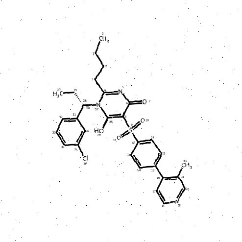 CCCCc1nc(=O)c(S(=O)(=O)c2ccc(-c3ccncc3C)cc2)c(O)n1[C@@H](CC)c1cccc(Cl)c1